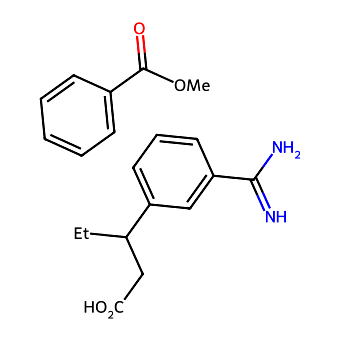 CCC(CC(=O)O)c1cccc(C(=N)N)c1.COC(=O)c1ccccc1